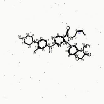 C/C=C\Cn1c(=O)c2cnc(Nc3ccc(N4CCN(C)CC4)c(C)c3)nc2n1-c1ccc2c(c1)N(CCC)C(=O)CO2